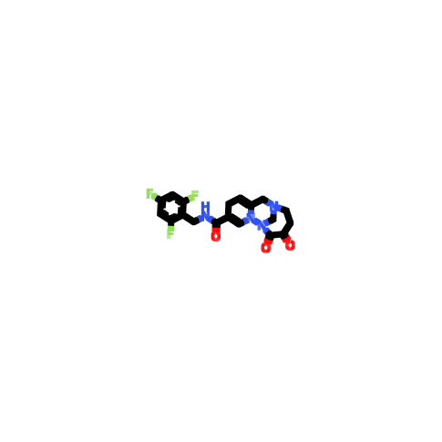 O=C1CCN2CC3=CCC(C(=O)NCc4c(F)cc(F)cc4F)=CN3N(C2)C1=O